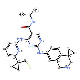 CC(C)NC(=O)c1cnc(Nc2ccc3c(c2)CNCC32CC2)nc1Nc1cccc(C2(CF)CC2)n1